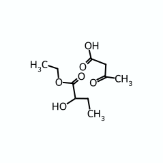 CC(=O)CC(=O)O.CCOC(=O)C(O)CC